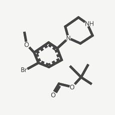 CC(C)(C)OC=O.COc1cc(N2CCNCC2)ccc1Br